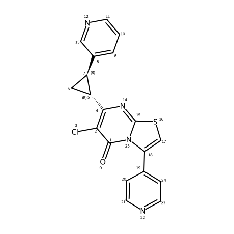 O=c1c(Cl)c([C@@H]2C[C@H]2c2cccnc2)nc2scc(-c3ccncc3)n12